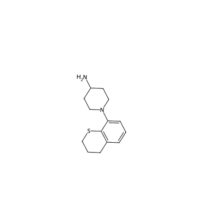 NC1CCN(c2cccc3c2SCCC3)CC1